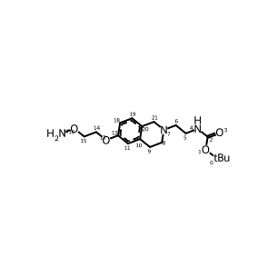 CC(C)(C)OC(=O)NCCN1CCc2cc(OCCON)ccc2C1